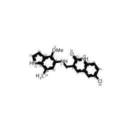 COc1c(NCc2cc3cc(Cl)ccc3[nH]c2=O)cc(C)c2[nH]ccc12